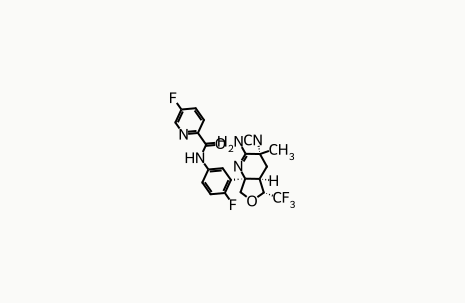 C[C@@]1(C#N)C[C@H]2[C@H](C(F)(F)F)OC[C@@]2(c2cc(NC(=O)c3ccc(F)cn3)ccc2F)N=C1N